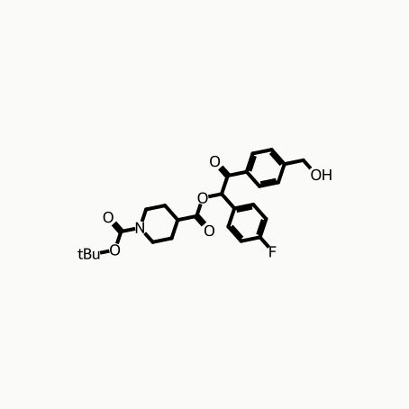 CC(C)(C)OC(=O)N1CCC(C(=O)OC(C(=O)c2ccc(CO)cc2)c2ccc(F)cc2)CC1